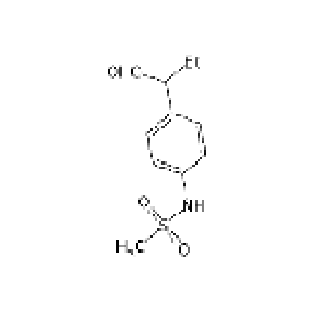 CCC(C=O)c1ccc(NS(C)(=O)=O)cc1